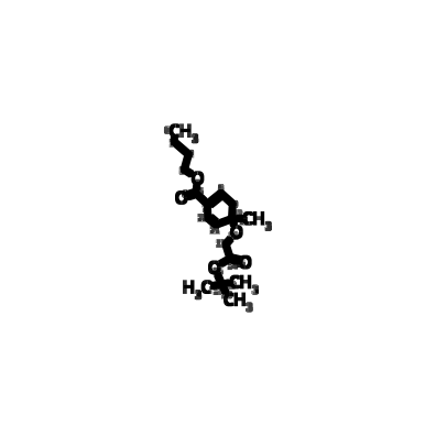 CCCCOC(=O)C1=CCC(C)(OCC(=O)OC(C)(C)C)C=C1